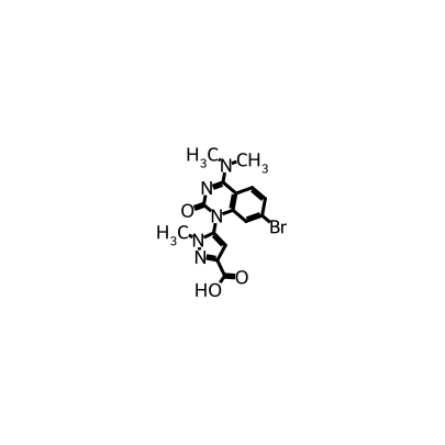 CN(C)c1nc(=O)n(-c2cc(C(=O)O)nn2C)c2cc(Br)ccc12